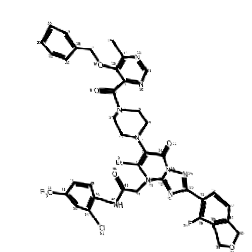 CCc1c(N2CCN(C(=O)c3ncnc(C)c3OCc3ccccc3)CC2)c(=O)n2nc(-c3ccc4c(c3F)COC4)nc2n1CC(=O)Nc1ccc(C(F)(F)F)cc1Cl